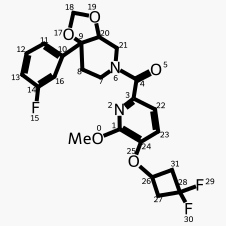 COc1nc(C(=O)N2CCC3(c4cccc(F)c4)OCOC3C2)ccc1OC1CC(F)(F)C1